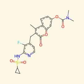 Cc1c(Cc2ccnc(NS(=O)(=O)C3CC3)c2F)c(=O)oc2cc(OC(=O)N(C)C)ccc12